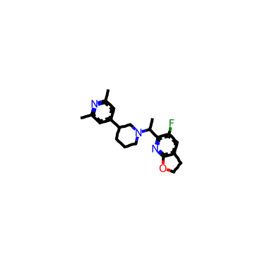 Cc1cc(C2CCCN(C(C)c3nc4c(cc3F)CCO4)C2)cc(C)n1